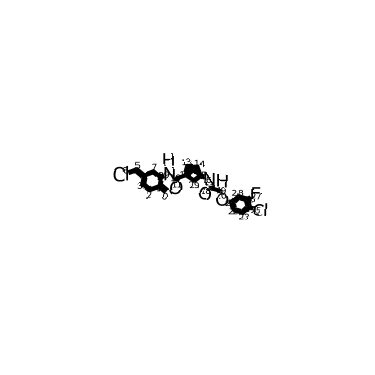 C=C1CC/C(=C\Cl)CC1NC(=O)C12CCC(NC(=O)COc3ccc(Cl)c(F)c3)(C1)C2